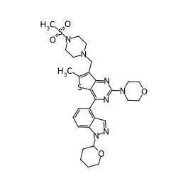 Cc1sc2c(-c3cccc4c3cnn4C3CCCCO3)nc(N3CCOCC3)nc2c1CN1CCN(S(C)(=O)=O)CC1